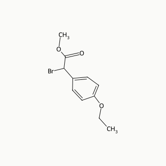 CCOc1ccc(C(Br)C(=O)OC)cc1